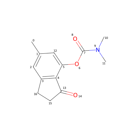 Cc1cc2c(c(OC(=O)N(C)C)c1)C(=O)CC2